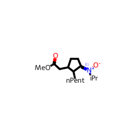 CCCCCC1/C(=[N+](/[O-])C(C)C)CCC1CC(=O)OC